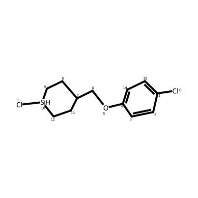 Clc1ccc(OCC2CC[SiH](Cl)CC2)cc1